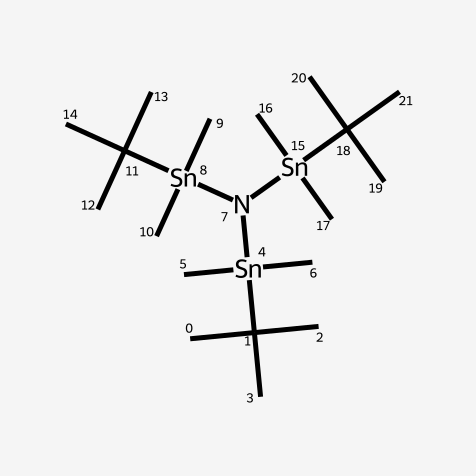 C[C](C)(C)[Sn]([CH3])([CH3])[N]([Sn]([CH3])([CH3])[C](C)(C)C)[Sn]([CH3])([CH3])[C](C)(C)C